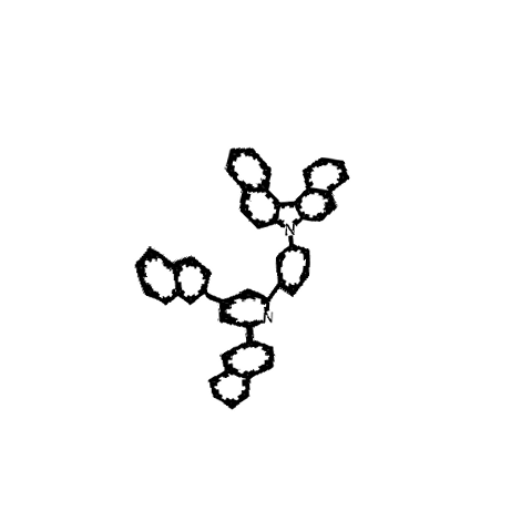 c1cc(-c2cc(-c3ccc4ccccc4c3)cc(-c3ccc4ccccc4c3)n2)cc(-n2c3ccc4ccccc4c3c3c4ccccc4ccc32)c1